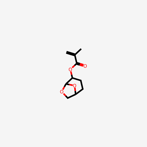 C=C(C)C(=O)OC1CCC2COC1O2